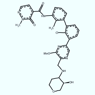 COc1nc(-c2cccc(-c3cccc(NC(=O)c4ccnn(C)c4=O)c3C)c2Cl)cnc1CNC1CCOC[C@@H]1O